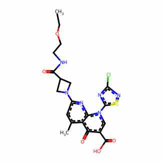 CCOCCNC(=O)C1CN(c2cc(C)c3c(=O)c(C(=O)O)cn(-c4nc(Cl)ns4)c3n2)C1